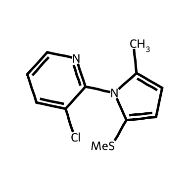 CSc1ccc(C)n1-c1ncccc1Cl